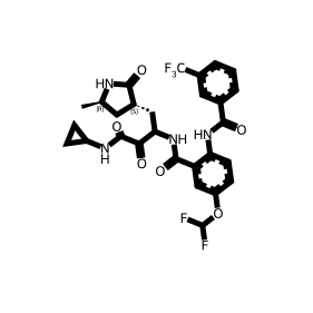 C[C@@H]1C[C@@H](CC(NC(=O)c2cc(OC(F)F)ccc2NC(=O)c2cccc(C(F)(F)F)c2)C(=O)C(=O)NC2CC2)C(=O)N1